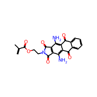 C=C(C)C(=O)OCCn1c(=O)c2c(N)c3c(=O)c4ccccc4c(=O)c3c(N)c2c1=O